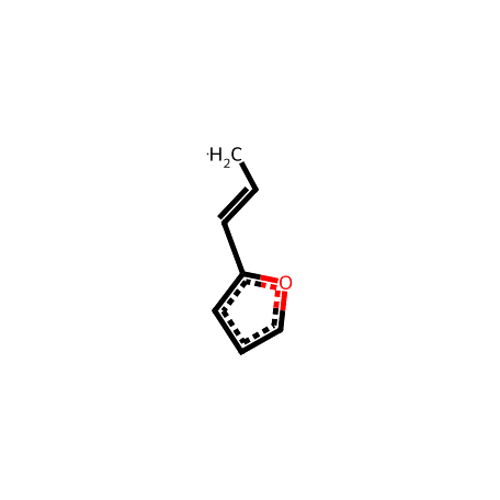 [CH2]/C=C/c1ccco1